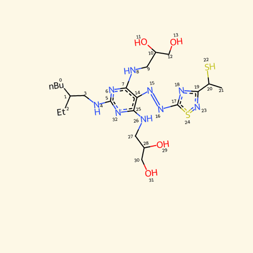 CCCCC(CC)CNc1nc(NCC(O)CO)c(N=Nc2nc(C(C)S)ns2)c(NCC(O)CO)n1